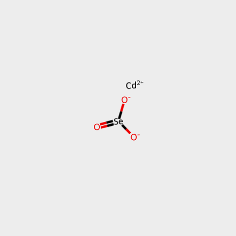 O=[Se]([O-])[O-].[Cd+2]